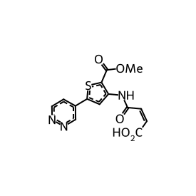 COC(=O)c1sc(-c2ccnnc2)cc1NC(=O)/C=C\C(=O)O